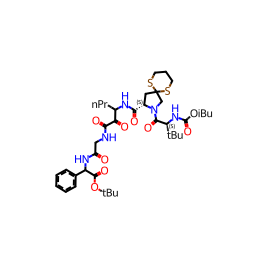 CCCC(NC(=O)[C@@H]1CC2(CN1C(=O)[C@@H](NC(=O)OCC(C)C)C(C)(C)C)SCCCS2)C(=O)C(=O)NCC(=O)NC(C(=O)OC(C)(C)C)c1ccccc1